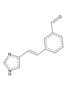 O=Cc1cccc(C=Cc2c[nH]cn2)c1